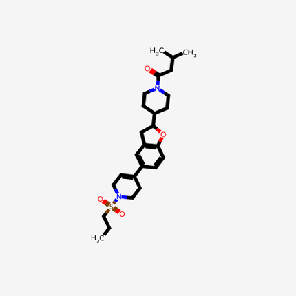 CCCS(=O)(=O)N1CC=C(c2ccc3c(c2)CC(C2CCN(C(=O)CC(C)C)CC2)O3)CC1